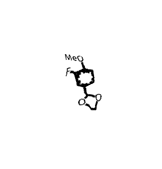 COc1ccc(C2OCCO2)cc1F